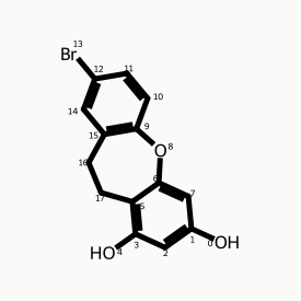 Oc1cc(O)c2c(c1)Oc1ccc(Br)cc1CC2